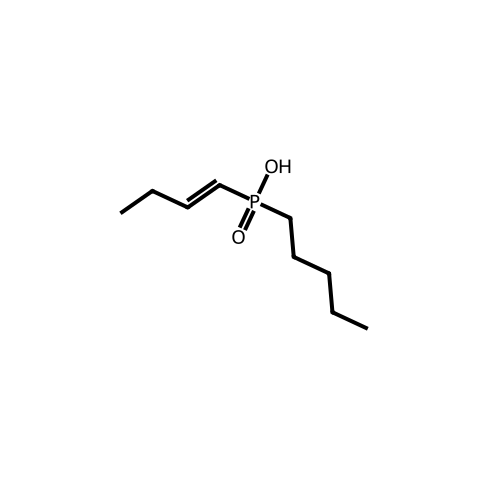 CCC=CP(=O)(O)CCCCC